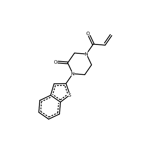 C=CC(=O)N1CCN(c2cc3ccccc3s2)C(=O)C1